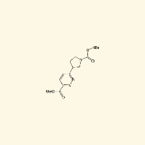 COC(=O)c1ccc(C2CCN(C(=O)OC(C)(C)C)C2)nn1